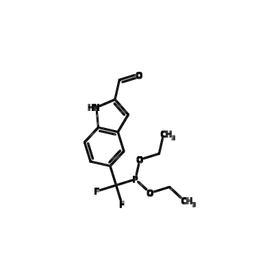 CCOP(OCC)C(F)(F)c1ccc2[nH]c(C=O)cc2c1